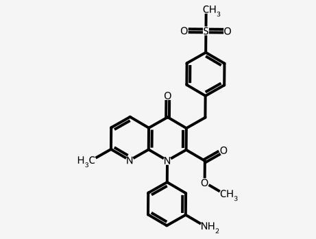 COC(=O)c1c(Cc2ccc(S(C)(=O)=O)cc2)c(=O)c2ccc(C)nc2n1-c1cccc(N)c1